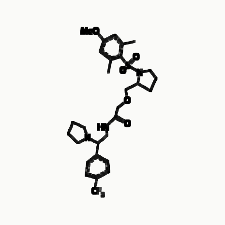 COc1cc(C)c(S(=O)(=O)N2CCCC2COCC(=O)NCC(c2ccc(C(F)(F)F)cc2)N2CCCC2)c(C)c1